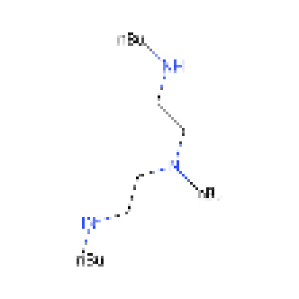 CCCCNCCN(CCCC)CCNCCCC